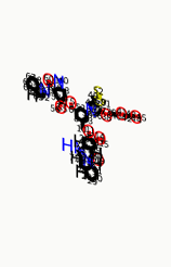 C=N[C@@H]1CC(OC[C@H]2CC(COC3=C(OC)C[C@H]4C(=O)N5[C@H](CN[C@H]4C3)C[C@@H]3CCCC[C@@H]35)=C[C@@H](N(CCOCCOCCOC)CC(C)(C)S(C)=S)C2)=C(OC)C[C@@H]1C(=O)N1CC[C@H]2CCCCC21